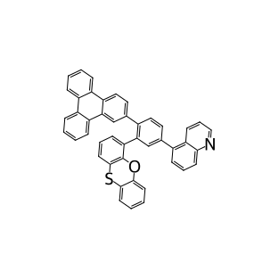 c1ccc2c(c1)Oc1c(cccc1-c1cc(-c3cccc4ncccc34)ccc1-c1ccc3c4ccccc4c4ccccc4c3c1)S2